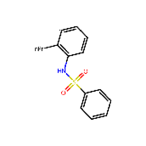 CCCc1[c]cccc1NS(=O)(=O)c1ccccc1